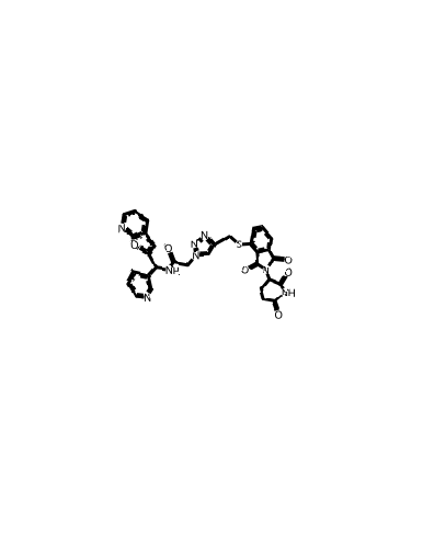 O=C1CCC(N2C(=O)c3cccc(SCc4cn(CC(=O)NC(c5cccnc5)c5cc6cccnc6o5)nn4)c3C2=O)C(=O)N1